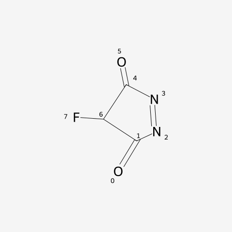 O=C1N=NC(=O)C1F